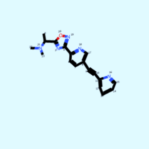 CC(c1nc(-c2ccc(C#Cc3ccccn3)cn2)no1)N(C)C